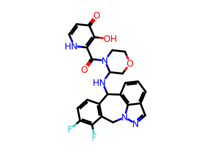 O=C(c1[nH]ccc(=O)c1O)N1CCOCC1NC1c2ccc(F)c(F)c2Cn2ncc3cccc1c32